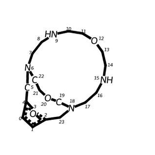 c1cc2oc1CN1CCNCCOCCNCCN(COCC1)C2